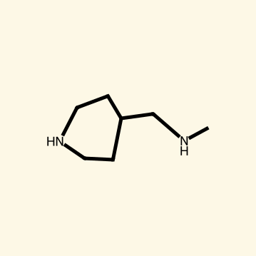 CNCC1CCNCC1